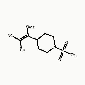 COC(=C(C#N)C#N)C1CCN(S(C)(=O)=O)CC1